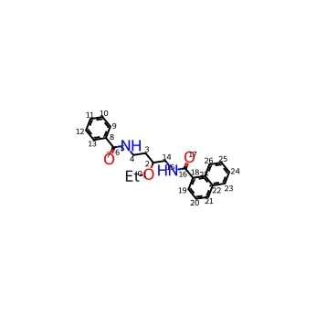 CCOC(CCNC(=O)c1ccccc1)CNC(=O)c1cccc2ccccc12